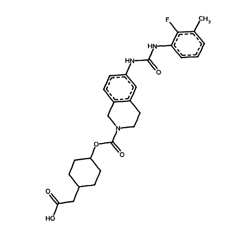 Cc1cccc(NC(=O)Nc2ccc3c(c2)CCN(C(=O)OC2CCC(CC(=O)O)CC2)C3)c1F